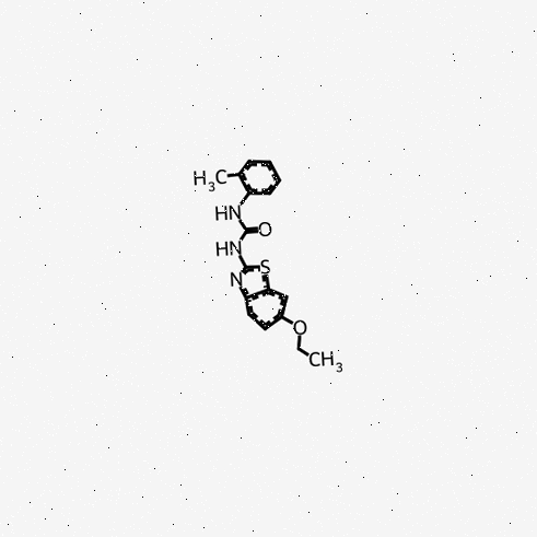 CCOc1ccc2nc(NC(=O)Nc3ccccc3C)sc2c1